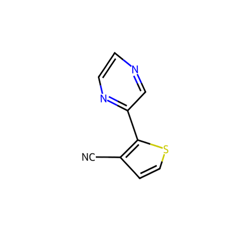 N#Cc1ccsc1-c1cnccn1